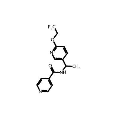 CC(NC(=O)c1ccncc1)c1ccc(OCC(F)(F)F)nc1